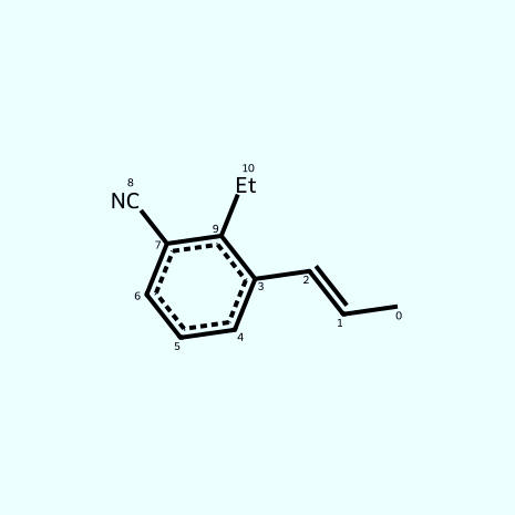 CC=Cc1cccc(C#N)c1CC